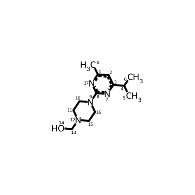 Cc1cc(C(C)C)nc(N2CCN(CO)CC2)n1